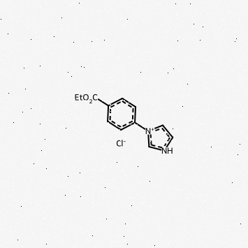 CCOC(=O)c1ccc(-[n+]2cc[nH]c2)cc1.[Cl-]